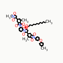 CCCCCCCCCCCCOC(=O)Oc1c(N2C(=O)CC(C3C=C(C)C4C(=O)N(c5ccc(Oc6ccc(C)cc6)cc5)C(=O)C4C3)C2=O)cccc1N1C(=O)C2CC(C3CC(=O)N(C)C3=O)C=C(C)C2C1=O